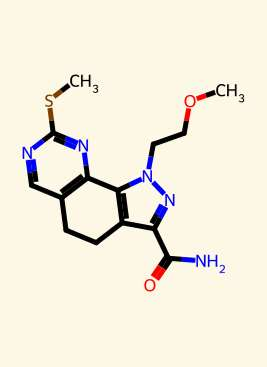 COCCn1nc(C(N)=O)c2c1-c1nc(SC)ncc1CC2